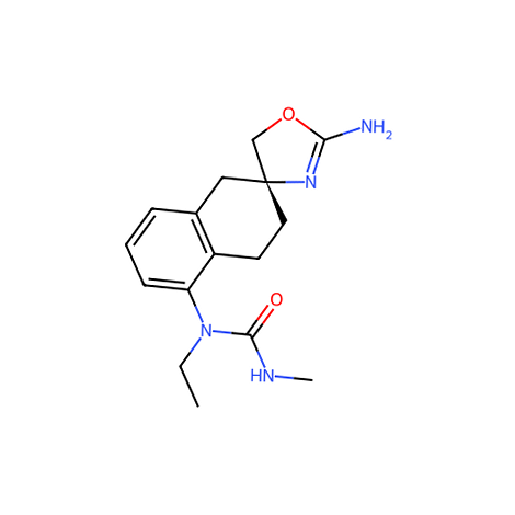 CCN(C(=O)NC)c1cccc2c1CC[C@]1(COC(N)=N1)C2